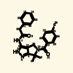 CC1(C)c2n[nH]c(NC(=O)Cc3ccccc3)c2CN1C(=O)c1ccc(F)cc1